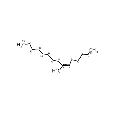 CCCCCC=C(C)CCCCCCCC